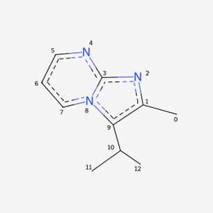 Cc1nc2ncccn2c1C(C)C